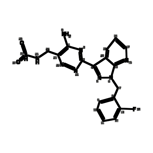 Nc1nc(-c2nn(Cc3ccccc3F)c3ncccc23)nnc1CN[SH](=O)=O